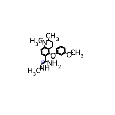 CN/C=C(\N)c1ccc2c(c1Oc1cccc(OC)c1)CCC(C)N2C